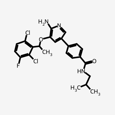 CC(C)CNC(=O)c1ccc(-c2cnc(N)c(OC(C)c3c(Cl)ccc(F)c3Cl)c2)cc1